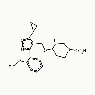 O=C(O)N1CCC(OCc2c(-c3ccccc3OC(F)(F)F)noc2C2CC2)[C@@H](F)C1